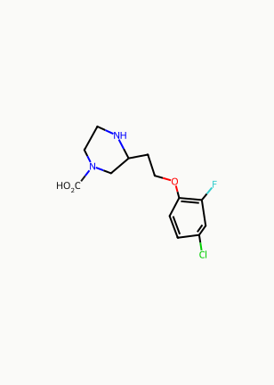 O=C(O)N1CCNC(CCOc2ccc(Cl)cc2F)C1